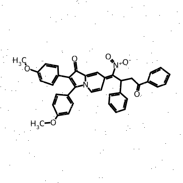 COc1ccc(C2=C(c3ccc(OC)cc3)N3C=C/C(=C(\C(CC(=O)c4ccccc4)c4ccccc4)[N+](=O)[O-])C=C3C2=O)cc1